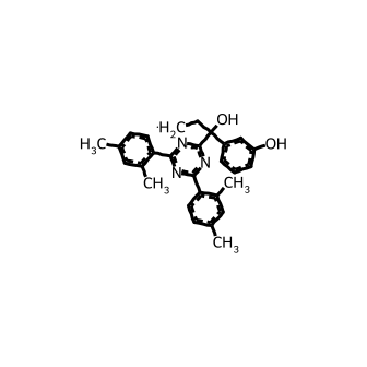 [CH2]CC(O)(c1cccc(O)c1)c1nc(-c2ccc(C)cc2C)nc(-c2ccc(C)cc2C)n1